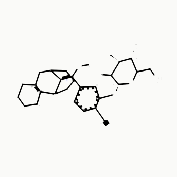 CO/C(=C1\C2CCCC1C1=C(CCCC1)C2)c1ccc(C#N)c(O[C@@H]2OC(CO)[C@@H](O)[C@H](O)C2O)c1